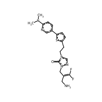 CN(C)c1ccc(-c2ccc(CCn3cnn(CC(CN)=C(F)F)c3=O)s2)cn1